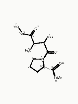 CCCCC(C(=O)N1CCC[C@H]1C(=O)OC)C(C)C(=O)NO